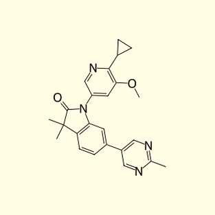 COc1cc(N2C(=O)C(C)(C)c3ccc(-c4cnc(C)nc4)cc32)cnc1C1CC1